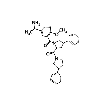 COc1ccc(C(C)N)cc1C(=O)N1CC(c2ccccc2)CC1C(=O)N1CCC(c2ccccc2)C1